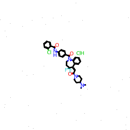 CN(C)C1CCN(C(=O)/C=C2/c3ccccc3N(C(=O)c3ccc(NC(=O)c4ccccc4Cl)cc3)CCC2(F)F)CC1.Cl